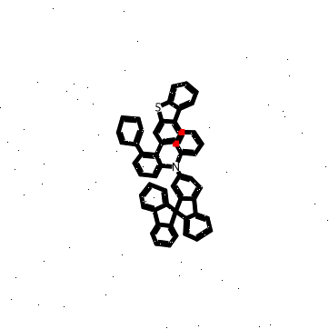 c1ccc(-c2cccc(N(c3ccccc3)c3ccc4c(c3)C3(c5ccccc5-c5ccccc53)c3ccccc3-4)c2-c2ccc3c(c2)sc2ccccc23)cc1